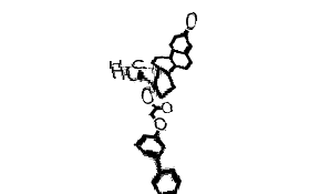 C#C[C@]1(OC(=O)COc2cccc(-c3ccccc3)c2)CCC2C3CCC4=CC(=O)CCC4C3CC[C@@]21CC